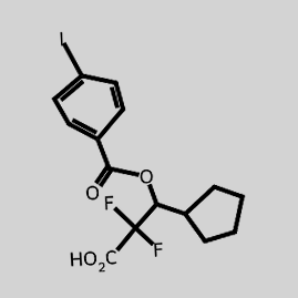 O=C(OC(C1CCCC1)C(F)(F)C(=O)O)c1ccc(I)cc1